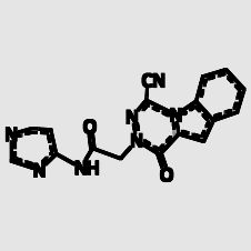 N#Cc1nn(CC(=O)Nc2ccncn2)c(=O)c2cc3ccccc3n12